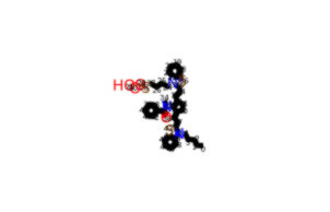 CCCCCN1/C(=C/C=C2\CCC(/C=C/c3sc4ccccc4[n+]3CCCCSOOO)=C2N(C)C(=O)c2ccccc2)Sc2ccccc21